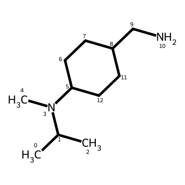 CC(C)N(C)C1CCC(CN)CC1